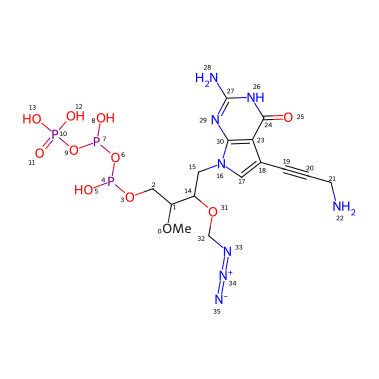 COC(COP(O)OP(O)OP(=O)(O)O)C(Cn1cc(C#CCN)c2c(=O)[nH]c(N)nc21)OCN=[N+]=[N-]